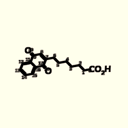 O=C(O)CCCCCCC1=CC(=O)c2ccccc2C1=O